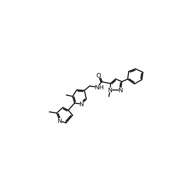 Cc1cc(-c2ncc(CNC(=O)c3cc(-c4ccccc4)nn3C)cc2C)ccn1